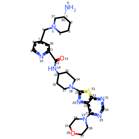 N[C@@H]1CCCN(Cc2ccnc(C(=O)NC3CCN(c4nc5c(N6CCOCC6)ncnc5s4)CC3)c2)C1